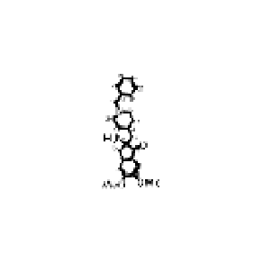 COc1cc2c(cc1OC)C(=O)C(N)(CC1CCN(Cc3ccccc3)CC1)C2